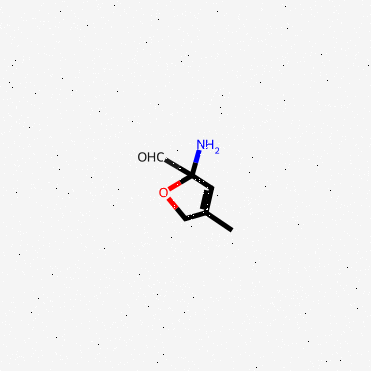 CC1=CC(N)(C=O)OC1